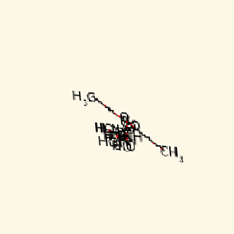 CCCCCCCCCCCCCCCCCC(=O)OCC(COC(=O)CCCCCCCCCCCCCCCCC)OC(=O)CCC(=O)NC(CCC(=O)O)C(=O)NC(CCC(=O)O)C(=O)NC(CCC(=O)O)C(N)=O